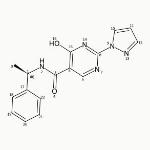 C[C@@H](NC(=O)c1cnc(-n2cccn2)nc1O)c1ccccc1